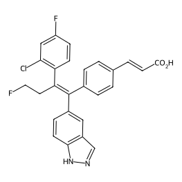 O=C(O)C=Cc1ccc(C(=C(CCF)c2ccc(F)cc2Cl)c2ccc3[nH]ncc3c2)cc1